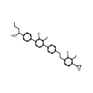 CCCC(O)c1ccc(-c2ccc(-c3ccc(CCc4ccc(C5CO5)c(F)c4F)cc3)c(F)c2F)cc1